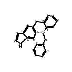 c1ccc(COc2ccccc2Cc2ccc3[nH]ccc3c2)cc1